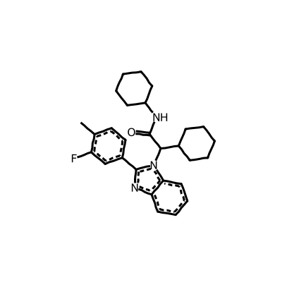 Cc1ccc(-c2nc3ccccc3n2C(C(=O)NC2CCCCC2)C2CCCCC2)cc1F